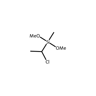 CO[Si](C)(OC)C(C)Cl